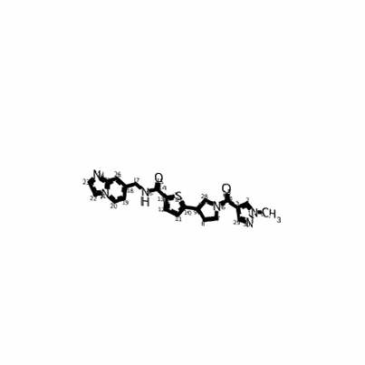 Cn1cc(C(=O)N2CCC(c3ccc(C(=O)NCc4ccn5ccnc5c4)s3)C2)cn1